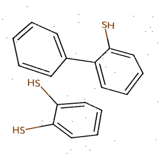 Sc1ccccc1-c1ccccc1.Sc1ccccc1S